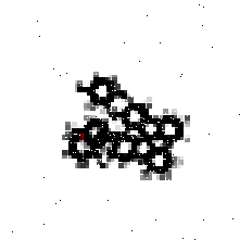 Cc1ccc(C)c(N(c2ccc3c(c2)C2(c4ccccc4-3)c3ccccc3-c3cc4oc5ccccc5c(=O)c4cc32)c2cc(C)ccc2C)c1